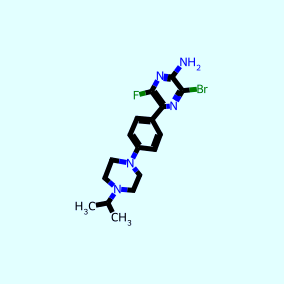 CC(C)N1CCN(c2ccc(-c3nc(Br)c(N)nc3F)cc2)CC1